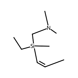 C/C=C\[Si](C)(CC)CN(C)C